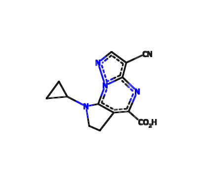 N#Cc1cnn2c3c(c(C(=O)O)nc12)CCN3C1CC1